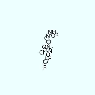 Cc1nc(OCc2ccc(F)cc2F)c(Cl)c(=O)n1-c1ccc2c(c1)CCN2C(N)=O